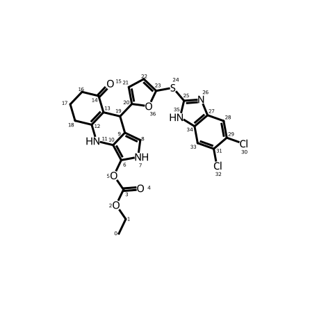 CCOC(=O)Oc1[nH]cc2c1NC1=C(C(=O)CCC1)C2c1ccc(Sc2nc3cc(Cl)c(Cl)cc3[nH]2)o1